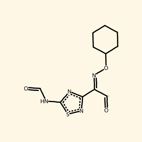 O=[C]/C(=N\OC1CCCCC1)c1nsc(NC=O)n1